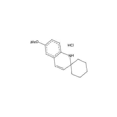 COc1ccc2c(c1)C=CC1(CCCCC1)N2.Cl